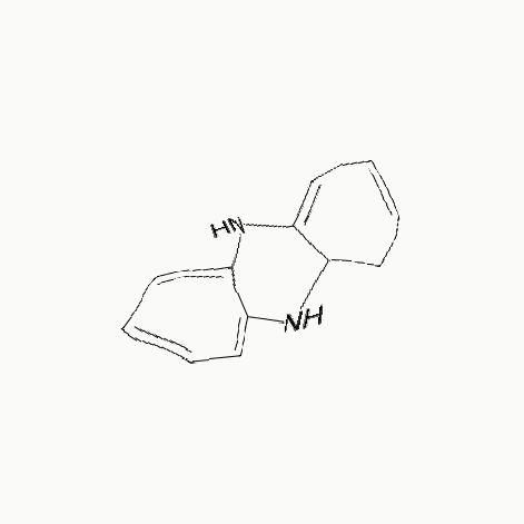 C1=CCC2Nc3ccccc3NC2=C1